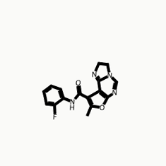 Cc1oc2c(c1C(=O)Nc1ccccc1F)C1=NCCN1C=N2